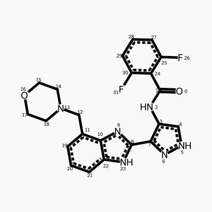 O=C(Nc1c[nH]nc1-c1nc2c(CN3CCOCC3)cccc2[nH]1)c1c(F)cccc1F